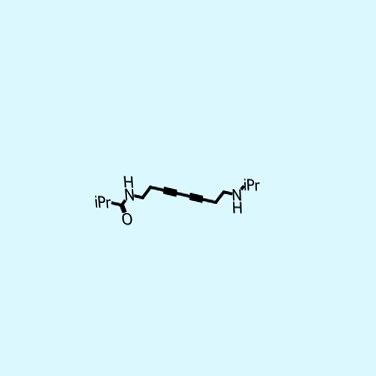 CC(C)NCCC#CC#CCCNC(=O)C(C)C